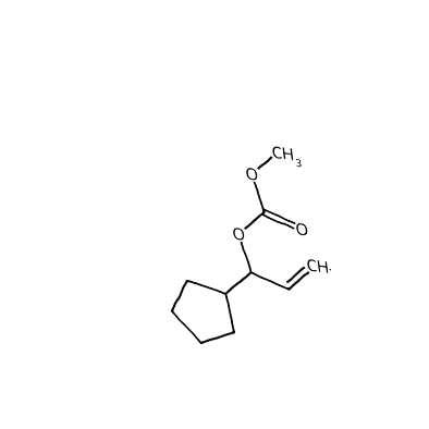 [CH]=CC(OC(=O)OC)C1CCCC1